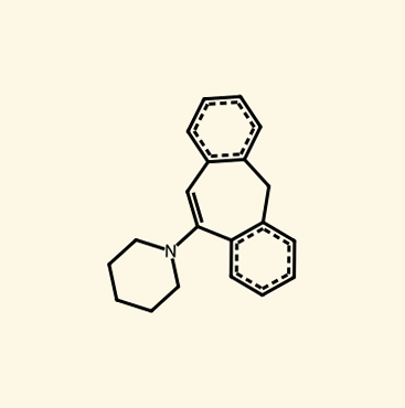 C1=C(N2CCCCC2)c2ccccc2Cc2ccccc21